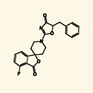 O=C1OC2(CCN(C3=NC(=O)C(Cc4ccccc4)O3)CC2)c2cccc(F)c21